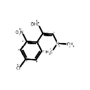 CN(C)/C=C(/C=O)c1ccc(Cl)cc1[N+](=O)[O-]